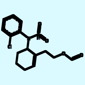 O=COCCC1=CCCCC1N(c1ccccc1Cl)[SH](=O)=O